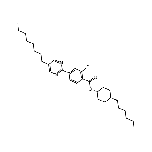 CCCCCCCCc1cnc(-c2ccc(C(=O)O[C@H]3CC[C@H](CCCCCC)CC3)c(F)c2)nc1